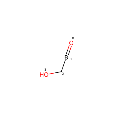 O=BCO